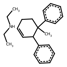 CC1(c2ccccc2)CCC=CC1c1ccccc1.CCNCC